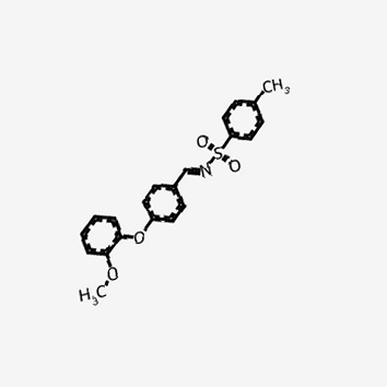 COc1ccccc1Oc1ccc(C=NS(=O)(=O)c2ccc(C)cc2)cc1